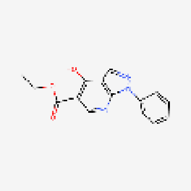 CCOC(=O)c1cnc2c(cnn2-c2ccccc2)c1O